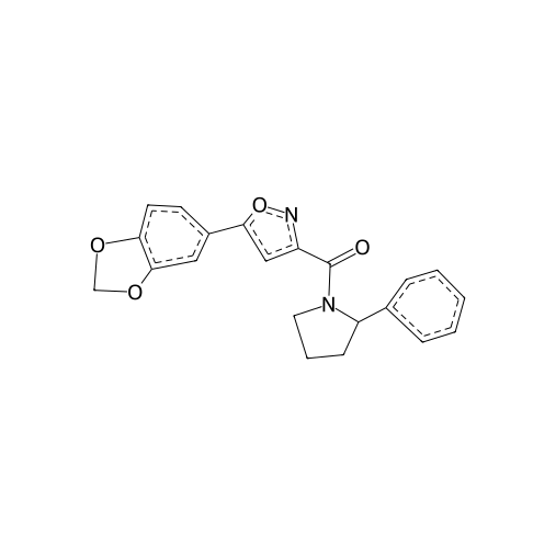 O=C(c1cc(-c2ccc3c(c2)OCO3)on1)N1CCCC1c1ccccc1